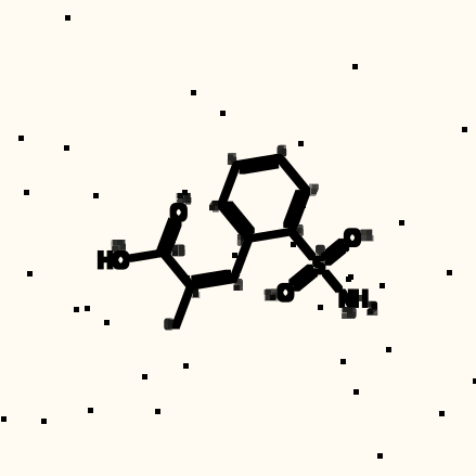 CC(=Cc1ccccc1S(N)(=O)=O)C(=O)O